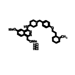 COCc1nnc(NC2CCN(Cc3ccc(OCCC4CCCCN4C)cc3)CC2)c2cc(OC)ccc12.Cl.Cl.Cl